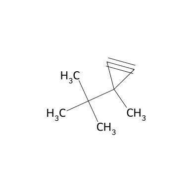 CC(C)(C)C1(C)C#C1